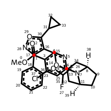 COC(=O)c1cnc(N2[C@@H]3CC[C@H]2C[C@@H](OCc2c(-c4ccccc4OC(F)F)noc2C2CC2)C3)cc1Cl